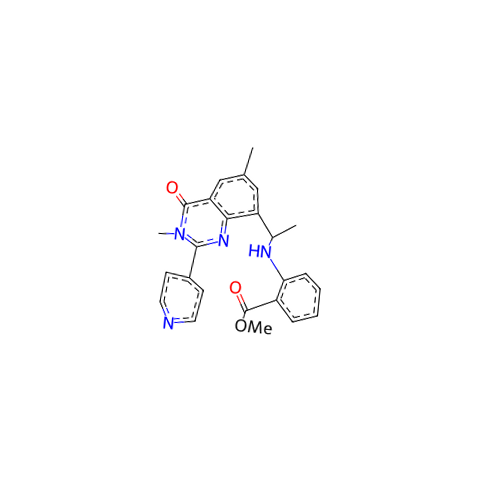 COC(=O)c1ccccc1NC(C)c1cc(C)cc2c(=O)n(C)c(-c3ccncc3)nc12